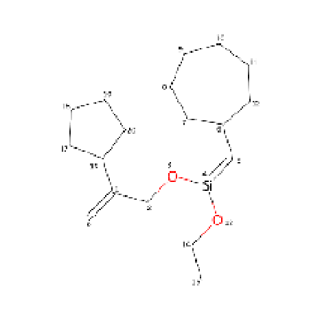 C=C(CO[Si](=CC1CCCCCC1)OCC)C1CCCC1